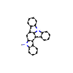 Cn1c2ccccc2c2c3c4ccccc4n4c5ccccc5c(cc21)c34